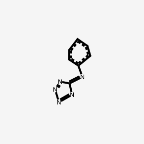 c1ccc(N=C2N=NN=N2)cc1